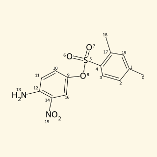 Cc1ccc(S(=O)(=O)Oc2ccc(N)c([N+](=O)[O-])c2)c(C)c1